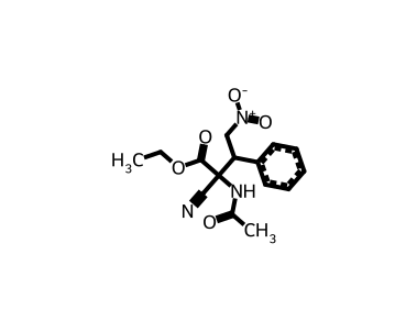 CCOC(=O)C(C#N)(NC(C)=O)C(C[N+](=O)[O-])c1ccccc1